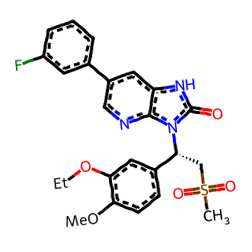 CCOc1cc([C@@H](CS(C)(=O)=O)n2c(=O)[nH]c3cc(-c4cccc(F)c4)cnc32)ccc1OC